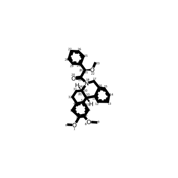 COc1cc2c(cc1OC)[C@H]1c3ccccc3CN(C(=O)[C@H](OC)c3ccccc3)[C@@H]1CC2